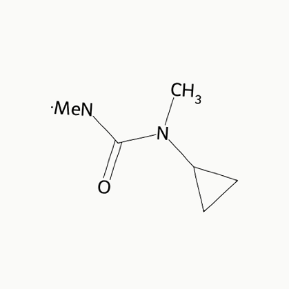 C[N]C(=O)N(C)C1CC1